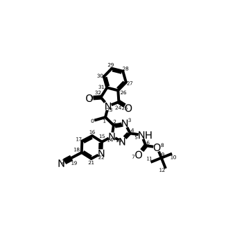 CC(c1nc(NC(=O)OC(C)(C)C)nn1-c1ccc(C#N)cn1)N1C(=O)c2ccccc2C1=O